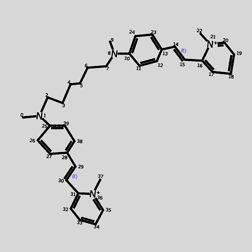 CN(CCCCCCN(C)c1ccc(/C=C/c2cccc[n+]2C)cc1)c1ccc(/C=C/c2cccc[n+]2C)cc1